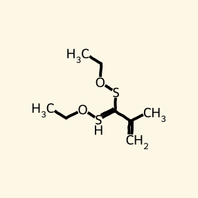 C=C(C)C(SOCC)=[SH]OCC